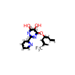 C=C/C=C(\C=C(/C)C(F)(F)F)Oc1nc(-c2ccccn2)nc(O)c1O